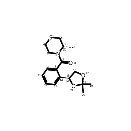 C[C@H]1CSCCN1C(=O)c1ccccc1[C@H]1COC(C)(C)O1